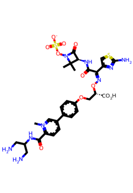 C[n+]1cc(-c2ccc(OC[C@H](O/N=C(\C(=O)N[C@@H]3C(=O)N(OS(=O)(=O)[O-])C3(C)C)c3csc(N)n3)C(=O)O)cc2)ccc1C(=O)NC(CN)CN